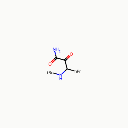 CCCC(NC(C)(C)C)C(=O)C(N)=O